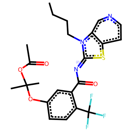 CCCCn1/c(=N/C(=O)c2cc(OC(C)(C)OC(C)=O)ccc2C(F)(F)F)sc2ccncc21